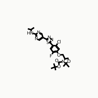 CC(C)Nc1ncc(-c2nnc(-c3cc(F)c(OCC4COC(C)(C)N4C(=O)OC(C)(C)C)cc3Cl)s2)cn1